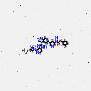 Cc1cn(-c2nccc3[nH]c(-c4n[nH]c5cnc(-c6cncc(NC(=O)Cc7ccccc7)c6)c(F)c45)nc23)cn1